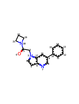 O=C(Cn1ccc2ncc(-c3ccccc3)cc21)N1CCC1